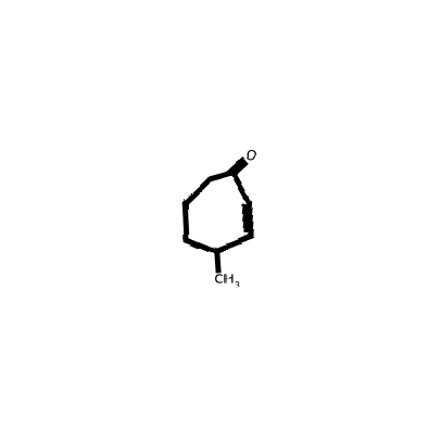 CC1C=CC(=O)CCC1